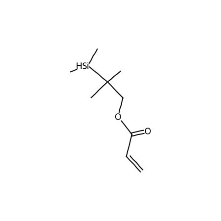 C=CC(=O)OCC(C)(C)[SiH](C)C